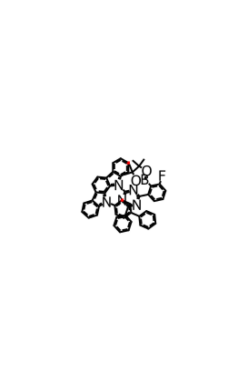 CC1(C)OB(c2c(F)cccc2-c2nc(-c3ccccc3)nc(-n3c4ccccc4c4ccc5c6ccccc6n(-c6ccc(-c7ccccc7)cc6)c5c43)n2)OC1(C)C